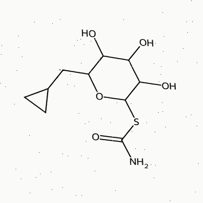 NC(=O)SC1OC([CH]C2CC2)C(O)C(O)C1O